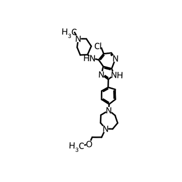 COCCN1CCCN(c2ccc(-c3nc4c(NC5CCN(C)CC5)c(Cl)cnc4[nH]3)cc2)CC1